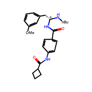 CCCCN[C@@H](Cc1cccc(OC)c1)NC(=O)c1ccc(NC(=O)C2CCC2)cc1